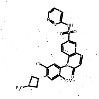 COc1cc([C@H]2C[C@H](C(F)(F)F)C2)c(Cl)cc1-n1c(=O)ccc2cc(S(=O)(=O)Nc3cccnn3)ccc21